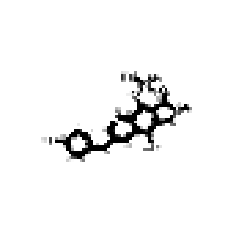 CC(=O)c1c2c(c(O[Si](C(C)C)(C(C)C)C(C)C)c3ncc(Cc4ccc(F)cc4)cc13)C(=O)N(C)C2